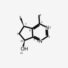 Cc1ncnc2c1[C@H](C)C[C@@H]2O